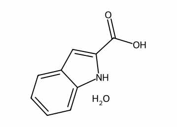 O.O=C(O)c1cc2ccccc2[nH]1